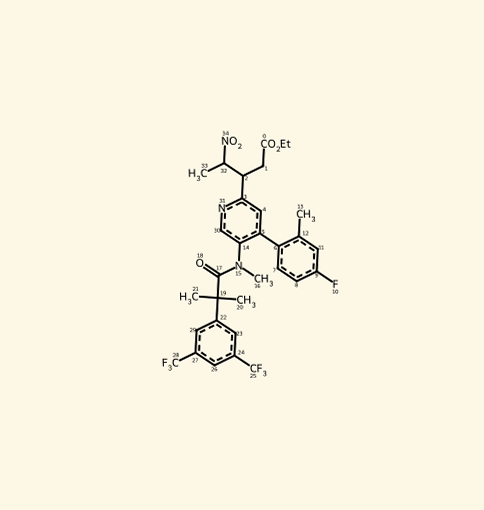 CCOC(=O)CC(c1cc(-c2ccc(F)cc2C)c(N(C)C(=O)C(C)(C)c2cc(C(F)(F)F)cc(C(F)(F)F)c2)cn1)C(C)[N+](=O)[O-]